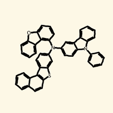 c1ccc(-n2c3ccccc3c3cc(N(c4ccc5c(c4)sc4ccc6ccccc6c45)c4cccc5oc6ccccc6c45)ccc32)cc1